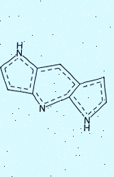 c1cc2nc3[nH]ccc3cc2[nH]1